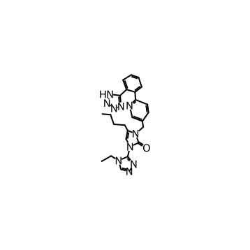 CCCCc1cn(-c2nncn2CC)c(=O)n1Cc1ccc(-c2ccccc2-c2nnn[nH]2)nc1